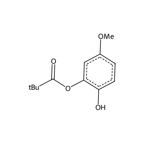 COc1ccc(O)c(OC(=O)C(C)(C)C)c1